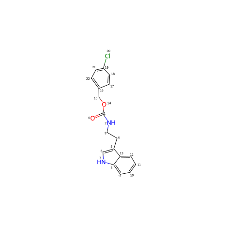 O=C(NCCc1c[nH]c2ccccc12)OCc1ccc(Cl)cc1